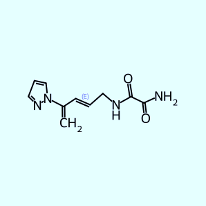 C=C(/C=C/CNC(=O)C(N)=O)n1cccn1